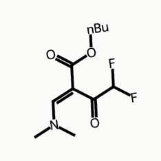 CCCCOC(=O)C(=CN(C)C)C(=O)C(F)F